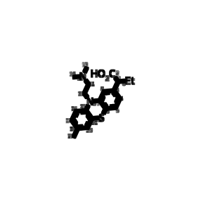 CCC(C(=O)O)c1ccc2c(c1)N(CCN(C)C)c1ccc(C)cc1S2